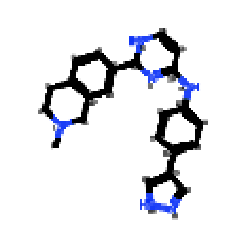 CN1CCc2ccc(C3N=C(Nc4ccc(-c5cn[nH]c5)cc4)C=CN3)cc2C1